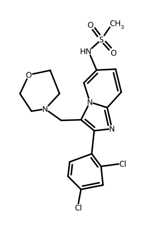 CS(=O)(=O)Nc1ccc2nc(-c3ccc(Cl)cc3Cl)c(CN3CCOCC3)n2c1